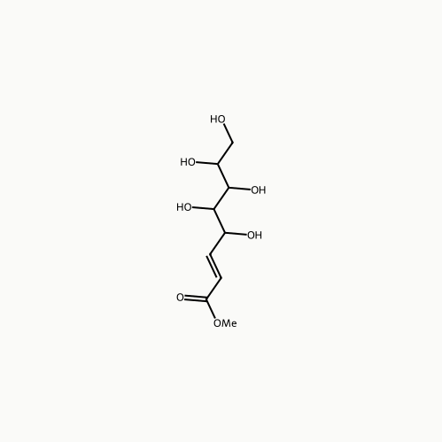 COC(=O)C=CC(O)C(O)C(O)C(O)CO